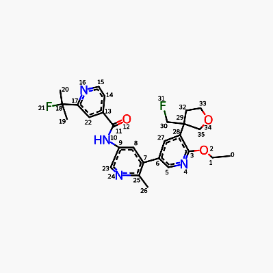 CCOc1ncc(-c2cc(NC(=O)c3ccnc(C(C)(C)F)c3)cnc2C)cc1C1(CF)CCOC1